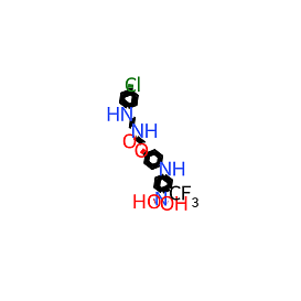 O=C(COC1CCC(Nc2ccc(N(O)O)c(C(F)(F)F)c2)CC1)NCCNc1ccc(Cl)cc1